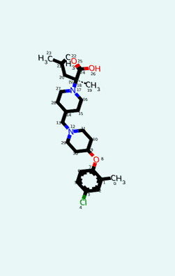 Cc1cc(Cl)ccc1OC1CCN(CC2CCN([C@@](C)(CC(C)C)C(=O)O)CC2)CC1